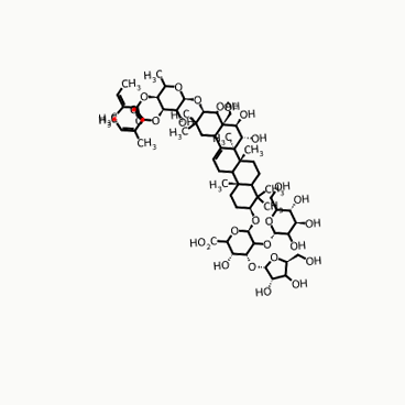 C/C=C(/C)C(=O)O[C@@H]1C(O)[C@H](O[C@H]2[C@H](OC(C)=O)[C@@]3(CO)C(CC2(C)C)C2=CCC4[C@@]5(C)CC[C@H](O[C@@H]6OC(C(=O)O)[C@@H](O)[C@@H](O[C@@H]7O[C@@H](CO)C(O)[C@@H]7O)C6O[C@@H]6OC(CO)[C@H](O)[C@@H](O)C6O)C(C)(C)C5CC[C@@]4(C)[C@]2(C)[C@@H](O)[C@@H]3O)OC(C)[C@@H]1OC(=O)/C(C)=C\C